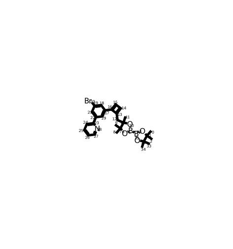 CC1(C)OB(B2OC(C)(C)C(C)(CC3=CC=C3c3cc(Br)cc(-c4ccccn4)c3)O2)OC1(C)C